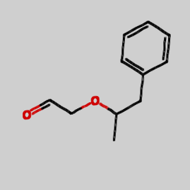 CC(Cc1ccccc1)OCC=O